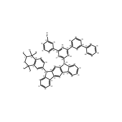 CC1CC(C)(C)c2cc(-n3c4ccccc4c4cc5c6ccccc6n(-c6nc(-c7cccc(F)c7)nc(-c7cccc(-c8ccccc8)c7)n6)c5cc43)ccc2C1(C)C